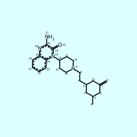 C=C1CC(C)CC(CCN2CCC(n3c(=O)c(N)nc4ccccc43)CC2)C1